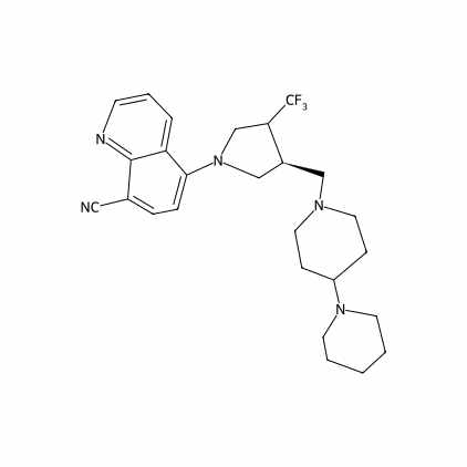 N#Cc1ccc(N2CC(C(F)(F)F)[C@@H](CN3CCC(N4CCCCC4)CC3)C2)c2cccnc12